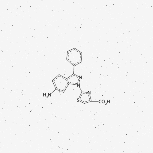 Nc1ccc2c(-c3ccccc3)nn(-c3nc(C(=O)O)cs3)c2c1